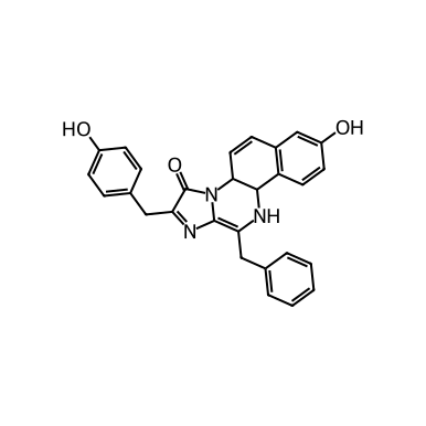 O=C1C(Cc2ccc(O)cc2)=NC2=C(Cc3ccccc3)NC3c4ccc(O)cc4C=CC3N12